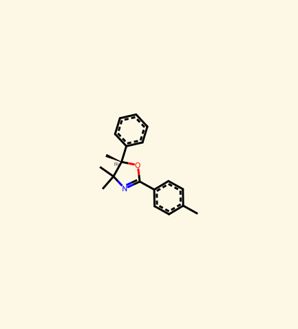 Cc1ccc(C2=NC(C)(C)[C@](C)(c3ccccc3)O2)cc1